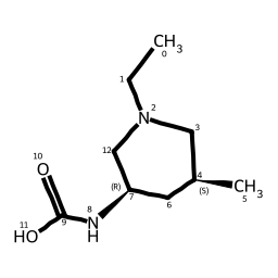 CCN1C[C@@H](C)C[C@@H](NC(=O)O)C1